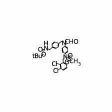 CC(C)(C)OC(=O)NCc1ccc(CN(C=O)c2ccc(N(Cc3cccc(Cl)c3Cl)S(C)(=O)=O)cc2)cc1